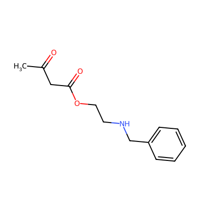 CC(=O)CC(=O)OCCNCc1ccccc1